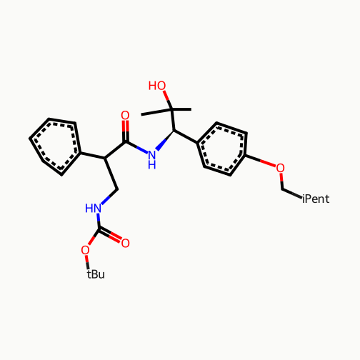 CCCC(C)COc1ccc([C@@H](NC(=O)C(CNC(=O)OC(C)(C)C)c2ccccc2)C(C)(C)O)cc1